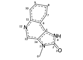 Cn1c(=O)[nH]c2c3ccccc3ncc21